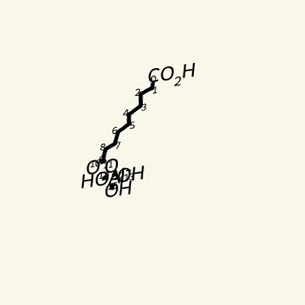 O=C(O)CCCCCCCCC(=O)[O][Al-]([OH])([OH])[OH]